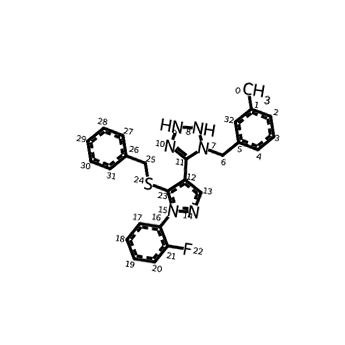 Cc1cccc(CN2NNN=C2c2cnn(-c3ccccc3F)c2SCc2ccccc2)c1